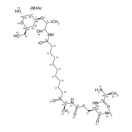 CC(=O)N[C@@H]1[C@@H](OC(C)CNC(=O)CCCCCCCCCC(=O)[C@H](C)NC(=O)CC[C@@H](NC(=O)[C@H](C)N)C(N)=O)[C@H](O)[C@@H](CO)O[C@@H]1O